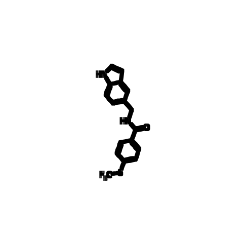 O=C(NCc1ccc2[nH]ccc2c1)c1ccc(SC(F)(F)F)cc1